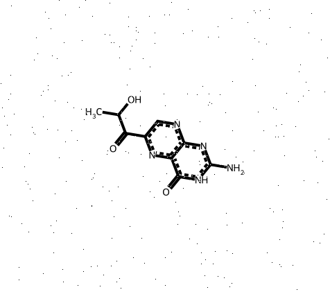 CC(O)C(=O)c1cnc2nc(N)[nH]c(=O)c2n1